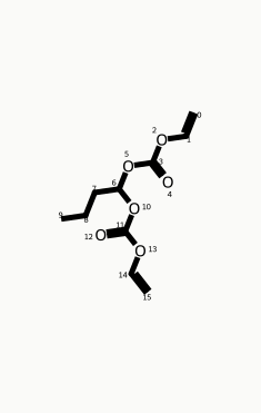 C=COC(=O)OC(CCC)OC(=O)OC=C